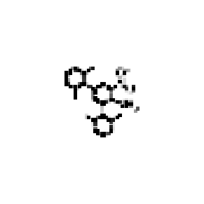 Cc1cccc(C)c1-c1cc(-c2c(C)cccc2C)c(N)c([N+](=O)[O-])c1